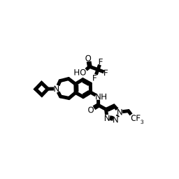 O=C(Nc1ccc2c(c1)CCN(C1CCC1)CC2)c1cn(CC(F)(F)F)nn1.O=C(O)C(F)(F)F